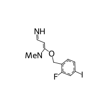 CN/C(=C\C=N)OCc1ccc(I)cc1F